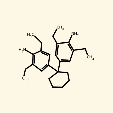 CCc1cc(C2(c3cc(CC)c(N)c(CC)c3)CCCCC2)cc(CC)c1N